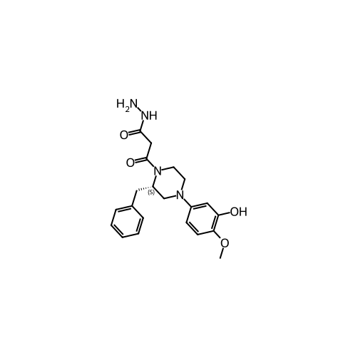 COc1ccc(N2CCN(C(=O)CC(=O)NN)[C@@H](Cc3ccccc3)C2)cc1O